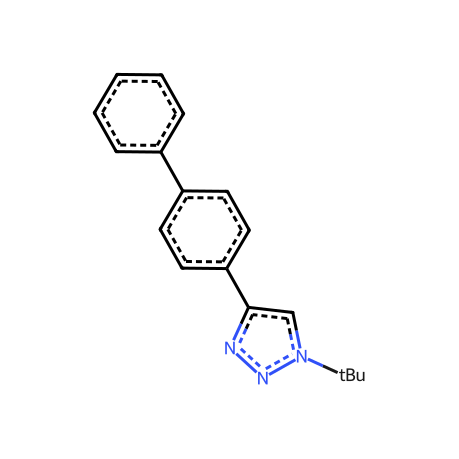 CC(C)(C)n1cc(-c2ccc(-c3ccccc3)cc2)nn1